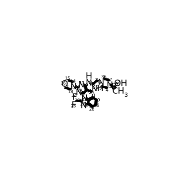 CB(O)N1CCN(CCNc2nc(N3CCOCC3)nc(-n3c(C(F)F)nc4ccccc43)c2C=N)CC1